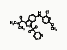 COc1ccc(Nc2ccc3c(C(=O)N(C)C)cn(S(=O)(=O)c4cccnc4)c3c2)c(Cl)n1